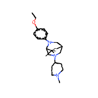 CCOc1ccc(N2CC3CN(C4CCN(C)CC4)CC2C(C)(C)C3)cc1